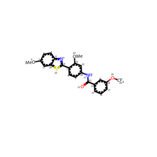 COc1ccc2nc(-c3ccc(NC(=O)c4cccc(OC(F)(F)F)c4)cc3OC)sc2c1